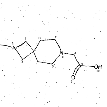 CN1CC2(CCN(CC(=O)O)CC2)C1